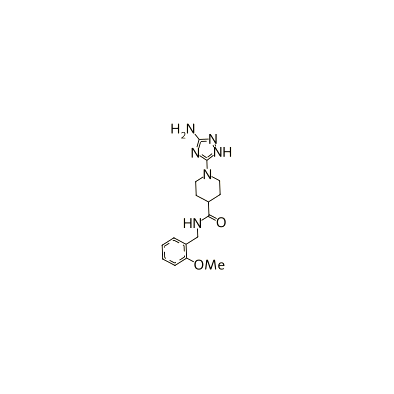 COc1ccccc1CNC(=O)C1CCN(c2nc(N)n[nH]2)CC1